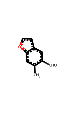 Cc1cc2occc2cc1C=O